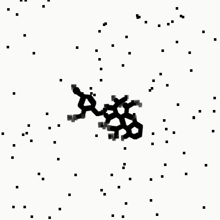 COc1cc(C#N)ccc1Cn1nc(C(F)(F)F)c(-c2c(C(N)=O)nc3cccc(F)c3c2C(N)=O)c1C